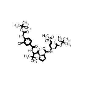 CC(C)(C)OC(=O)C[C@@H](/C=C/S(C)(=O)=O)NC(=O)[C@H]1CCCN1C(=O)C(NC(=O)c1ccc(NC(=O)OC(C)(C)C)c(Cl)c1)C(C)(C)C